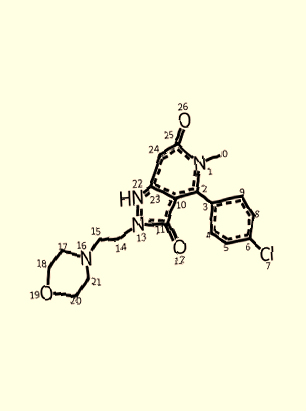 Cn1c(-c2ccc(Cl)cc2)c2c(=O)n(CCN3CCOCC3)[nH]c2cc1=O